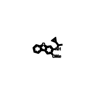 COc1cc2c(cc1NC(C)C1CC1)oc1ccccc12